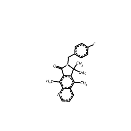 CC(=O)OC1(C)c2c(c(C)c3ncccc3c2C)C(=O)N1Cc1ccc(F)cc1